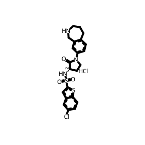 Cl.O=C1[C@@H](NS(=O)(=O)c2cc3cc(Cl)ccc3s2)CCN1c1ccc2c(c1)CNCCC2